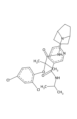 CC(C)NC(=O)c1ccc(N2C3CCC2CC(NC(=O)C(C)(C)Oc2ccc(Cl)cc2Cl)C3)nc1